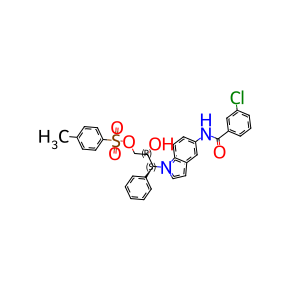 Cc1ccc(S(=O)(=O)OC[C@H](O)[C@H](c2ccccc2)n2ccc3cc(NC(=O)c4cccc(Cl)c4)ccc32)cc1